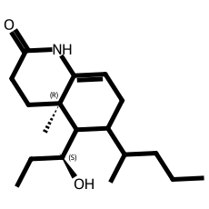 CCCC(C)C1CC=C2NC(=O)CC[C@]2(C)C1[C@@H](O)CC